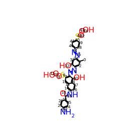 Cc1cc(N=Nc2c(SOOO)cc3cc(NC(=O)c4ccc(N)cc4)ccc3c2O)c(O)cc1N=Nc1ccc(SOOO)cc1